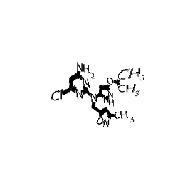 Cc1cc(CN(c2cc(OC(C)C)[nH]n2)c2nc(N)cc(Cl)n2)on1